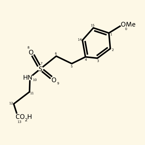 COc1ccc(CCS(=O)(=O)NCCC(=O)O)cc1